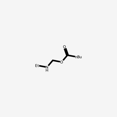 CCCCC(=O)OCNCC